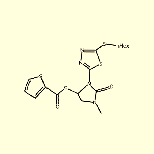 CCCCCCSc1nnc(N2C(=O)N(C)CC2OC(=O)c2cccs2)s1